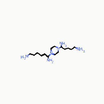 NCCCCCC(N)N1CCN(C(N)CCCCN)CC1